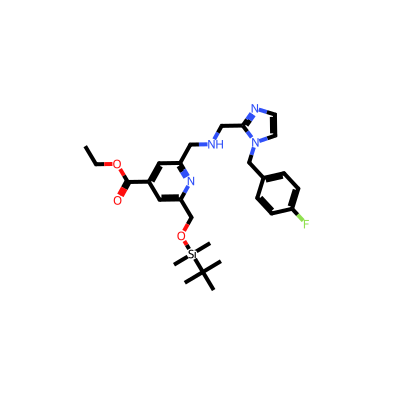 CCOC(=O)c1cc(CNCc2nccn2Cc2ccc(F)cc2)nc(CO[Si](C)(C)C(C)(C)C)c1